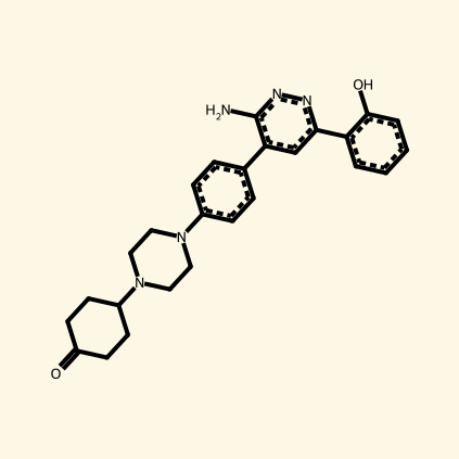 Nc1nnc(-c2ccccc2O)cc1-c1ccc(N2CCN(C3CCC(=O)CC3)CC2)cc1